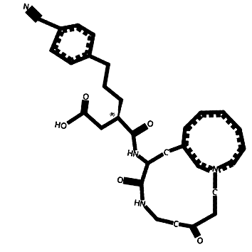 N#Cc1ccc(CCC[C@H](CC(=O)O)C(=O)NC2Cc3ccccccn(c3)CCC(=O)CCNC2=O)cc1